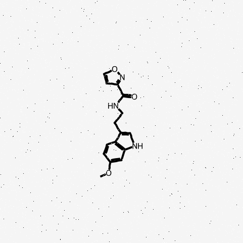 COc1ccc2c(CCNC(=O)c3ccon3)c[nH]c2c1